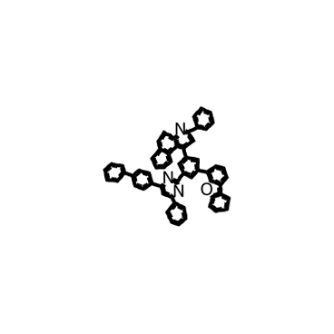 c1ccc(-c2ccc(-c3cc(-c4ccccc4)nc(-c4cc(-c5cccc6c5oc5ccccc56)cc(-c5cc(-c6ccccc6)nc6ccc7ccccc7c56)c4)n3)cc2)cc1